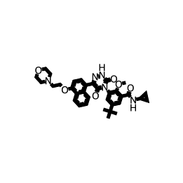 COc1c(C(=O)NC2CC2)cc(C(C)(C)C)cc1-n1c(=O)[nH]nc(-c2ccc(OCCN3CCOCC3)c3ccccc23)c1=O